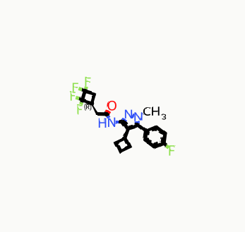 Cn1nc(NC(=O)C[C@@H]2CC(F)(F)C2(F)F)c(C2CCC2)c1-c1ccc(F)cc1